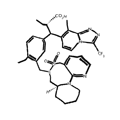 Cc1ccc(C(c2ccn3c(C(F)(F)F)nnc3c2C)[C@H](C)C(=O)O)cc1CN1C[C@@H]2CCCCN2c2ncccc2S1(=O)=O